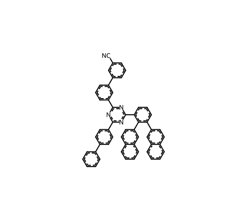 N#Cc1cccc(-c2cccc(-c3nc(-c4ccc(-c5ccccc5)cc4)nc(-c4cccc(-c5ccc6ccccc6c5)c4-c4ccc5ccccc5c4)n3)c2)c1